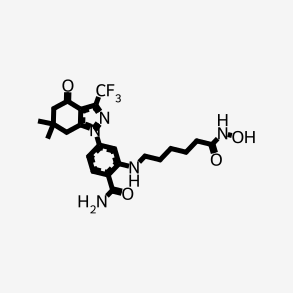 CC1(C)CC(=O)c2c(C(F)(F)F)nn(-c3ccc(C(N)=O)c(NCCCCCC(=O)NO)c3)c2C1